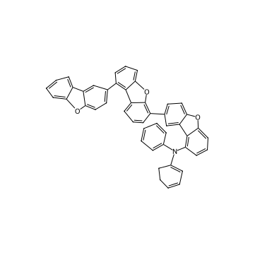 C1=CCCC(N(c2ccccc2)c2cccc3oc4ccc(-c5cccc6c5oc5cccc(-c7ccc8oc9ccccc9c8c7)c56)cc4c23)=C1